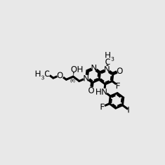 CCOC[C@H](O)Cn1cnc2c(c(Nc3ccc(I)cc3F)c(F)c(=O)n2C)c1=O